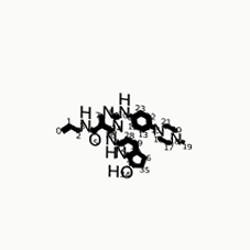 C=CCNC(=O)c1cnc(Nc2ccc(N3CCN(C)CC3)cc2)nc1Nc1ccc2c(n1)C(O)CC2